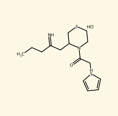 CCCC(=N)CC1CSCCN1C(=O)C[SH]1C=CC=C1.Cl